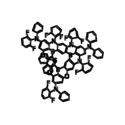 Fc1cccc(F)c1N(c1ccccc1)c1cc2c3c(c1)Oc1c(sc4ccccc14)B3c1cc3c(cc1O2)N(c1c(F)cccc1F)c1cc(N(c2ccccc2)c2ccccc2)cc2c1B3c1cc3c(cc1N2c1c(F)cccc1F)N(c1c(F)cccc1F)c1cc(N(c2ccccc2)c2c(F)cccc2F)cc2c1B3c1sc3ccccc3c1O2